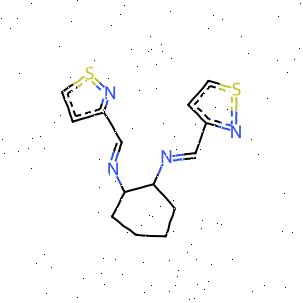 C(=N\C1CCCCC1/N=C/c1ccsn1)/c1ccsn1